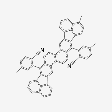 Cc1ccc(C#N)c(-c2c3c(cc4c2ccc2c5cc6c(c(-c7cc(C)ccc7C#N)c5ccc42)-c2ccc(C)c4cccc-6c24)-c2cccc4cccc-3c24)c1